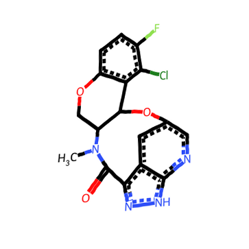 CN1C(=O)c2n[nH]c3ncc(cc23)OC2c3c(ccc(F)c3Cl)OCC21